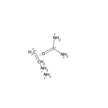 C=C.N.N.NC(N)=O